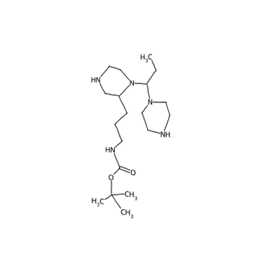 CCC(N1CCNCC1)N1CCNCC1CCCNC(=O)OC(C)(C)C